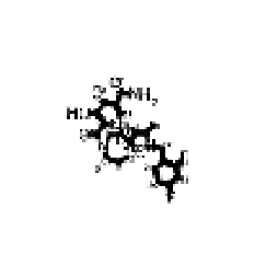 CC1C(F)[C@@]2(CC[C@H](C)N3C[C@H]2n2cc(C(N)=O)c(=O)c(O)c2C3=O)ON1Cc1ccc(F)cc1F